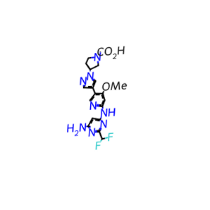 COc1cc(Nc2cc(N)nc(C(F)F)n2)ncc1-c1cnn([C@@H]2CCN(C(=O)O)C2)c1